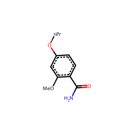 CCCOc1ccc(C(N)=O)c(OC)c1